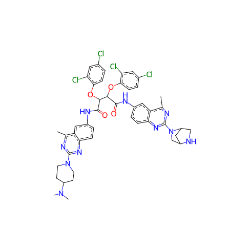 Cc1nc(N2CCC(N(C)C)CC2)nc2ccc(NC(=O)C(Oc3ccc(Cl)cc3Cl)C(Oc3ccc(Cl)cc3Cl)C(=O)Nc3ccc4nc(N5CC6CC5CN6)nc(C)c4c3)cc12